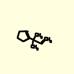 C=CC(C)(C)C1=[C]CCC1